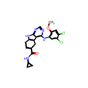 COc1cc(Cl)c(Cl)cc1Nc1ncnc2[nH]c3c(c12)CC(C(=O)NC1CC1)CC3